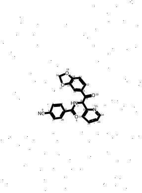 N#Cc1ccc(C(=O)NC(C(=O)c2ccc3c(c2)OCO3)c2ccccn2)cc1